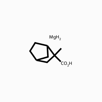 CC1(C(=O)O)CC2CCC1C2.[MgH2]